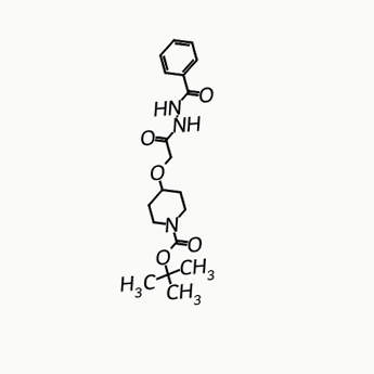 CC(C)(C)OC(=O)N1CCC(OCC(=O)NNC(=O)c2ccccc2)CC1